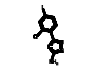 Nc1nnc(-c2ccc(I)cc2Cl)s1